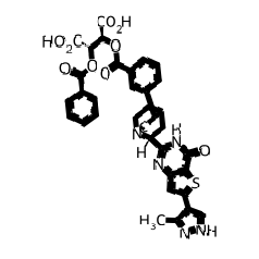 Cc1n[nH]cc1-c1cc2nc([C@@H]3CC4CCN3CC4c3cccc(C(=O)O[C@H](C(=O)O)[C@H](OC(=O)c4ccccc4)C(=O)O)c3)[nH]c(=O)c2s1